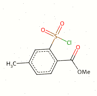 COC(=O)c1ccc(C)cc1S(=O)(=O)Cl